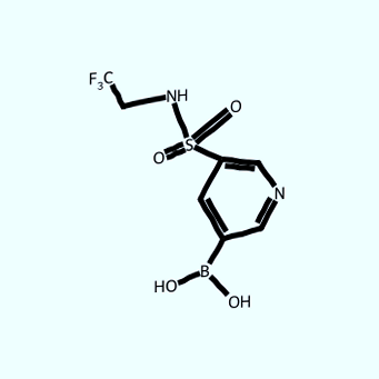 O=S(=O)(NCC(F)(F)F)c1cncc(B(O)O)c1